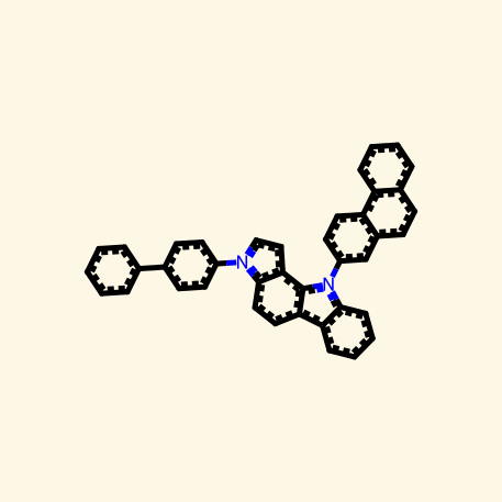 c1ccc(-c2ccc(-n3ccc4c3ccc3c5ccccc5n(-c5ccc6c(ccc7ccccc76)c5)c34)cc2)cc1